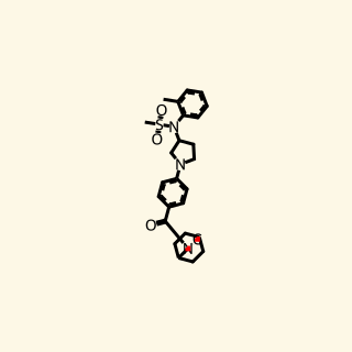 Cc1ccccc1N(C1CCN(c2ccc(C(=O)N3CC4CCC(CC4)C3)cc2)C1)S(C)(=O)=O